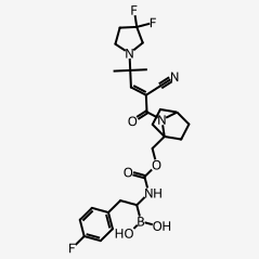 CC(C)(C=C(C#N)C(=O)N1C2CCC1(COC(=O)NC(Cc1ccc(F)cc1)B(O)O)CC2)N1CCC(F)(F)C1